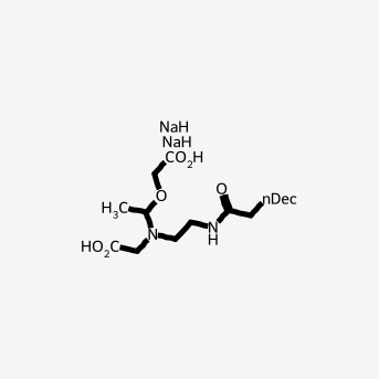 CCCCCCCCCCCC(=O)NCCN(CC(=O)O)C(C)OCC(=O)O.[NaH].[NaH]